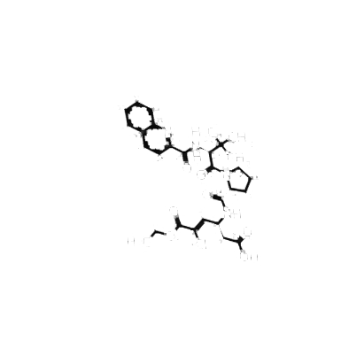 CCOC(=O)/C(Cl)=C/[C@H](CC(=O)O)NC(=O)[C@H]1CCCN1C(=O)[C@@H](NC(=O)c1ccc2ccccc2n1)C(C)(C)C